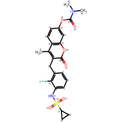 Cc1c(Cc2cccc(NS(=O)(=O)C3CC3)c2F)c(=O)oc2cc(OC(=O)N(C)C)ccc12